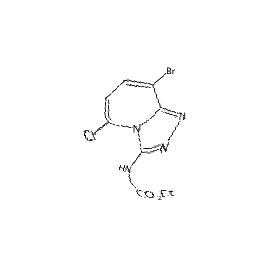 CCOC(=O)Nc1nnc2c(Br)ccc(Cl)n12